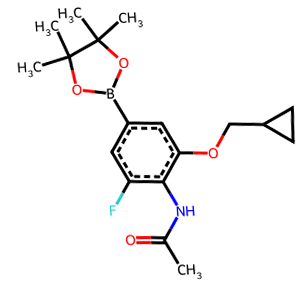 CC(=O)Nc1c(F)cc(B2OC(C)(C)C(C)(C)O2)cc1OCC1CC1